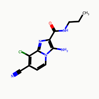 CCCNC(=O)c1nc2c(Cl)c(C#N)ccn2c1N